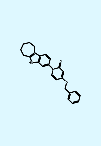 O=c1cc(OCc2ccccc2)ccn1-c1ccc2c3c([nH]c2c1)CCCCC3